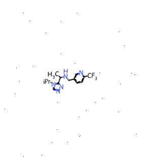 CC(NCc1ccc(C(F)(F)F)nc1)c1nncn1C(C)C